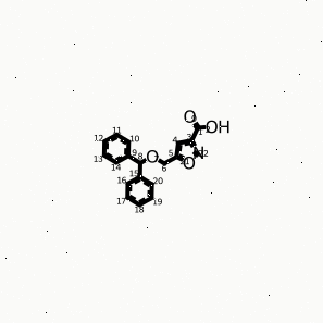 O=C(O)c1cc(COC(c2ccccc2)c2ccccc2)on1